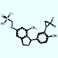 Cc1cc(OCP(=O)(O)O)cc2c1C(c1ccc(O)c(C3CC3(F)F)c1)CC2